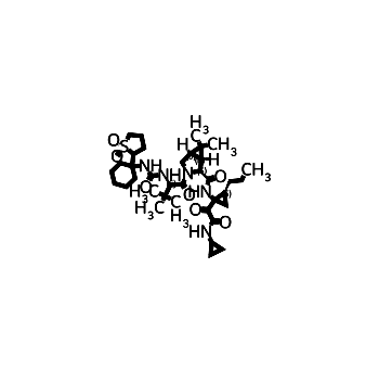 CCC[C@H]1CC1(NC(=O)[C@@H]1[C@@H]2[C@H](CN1C(=O)[C@@H](NC(=O)NC1(C3CCCS3(=O)=O)CCCCC1)C(C)(C)C)C2(C)C)C(=O)C(=O)NC1CC1